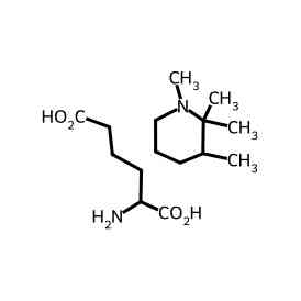 CC1CCCN(C)C1(C)C.NC(CCCC(=O)O)C(=O)O